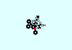 CC(C)C(C(=O)O)N(CC(CSC(c1ccccc1)(c1ccccc1)c1ccccc1)NC(=O)OC(C)(C)C)C(=O)OCc1ccccc1